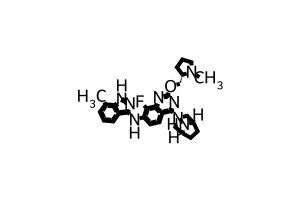 Cc1cccc2c(Nc3ccc4c(N5C[C@H]6CC[C@@H](C5)N6)nc(OC[C@@H]5CCCN5C)nc4c3F)n[nH]c12